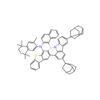 Cc1cc2c(cc1N1c3ccc4ccccc4c3B3c4c(cc5c(sc6ccccc65)c41)-c1cc(C45CCC6CC(CC6C4)C5)cc4c5cc(C67CC8CC(CC(C8)C6)C7)ccc5n3c14)C(C)(C)CCC2(C)C